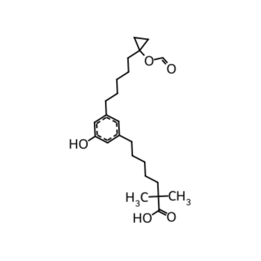 CC(C)(CCCCCc1cc(O)cc(CCCCCC2(OC=O)CC2)c1)C(=O)O